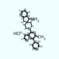 Cc1nc(N2CCC3(CC2)Cc2ncccc2[C@H]3N)c2ccnn2c1-c1ccncc1.Cl